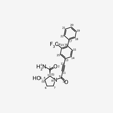 NC(=O)[C@@H]1[C@@H](O)CCN1C(=O)C#Cc1ccc(-c2ccccc2)c(C(F)(F)F)c1